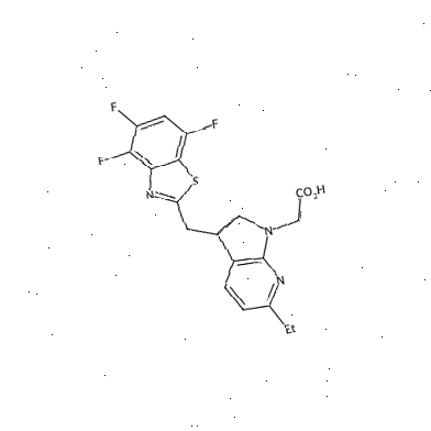 CCc1ccc2c(n1)N(CC(=O)O)CC2Cc1nc2c(F)c(F)cc(F)c2s1